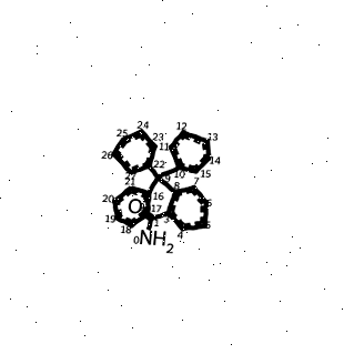 NC(=O)c1ccccc1C(c1ccccc1)(c1ccccc1)c1ccccc1